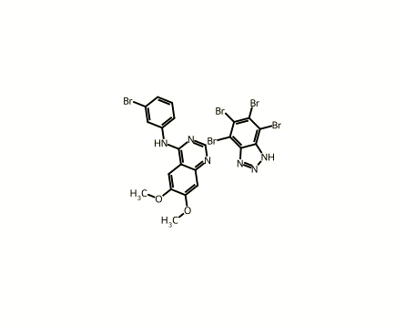 Brc1c(Br)c(Br)c2[nH]nnc2c1Br.COc1cc2ncnc(Nc3cccc(Br)c3)c2cc1OC